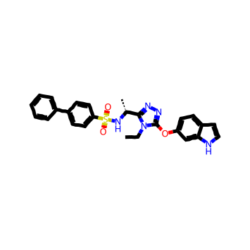 CCn1c(Oc2ccc3cc[nH]c3c2)nnc1[C@@H](C)NS(=O)(=O)c1ccc(-c2ccccc2)cc1